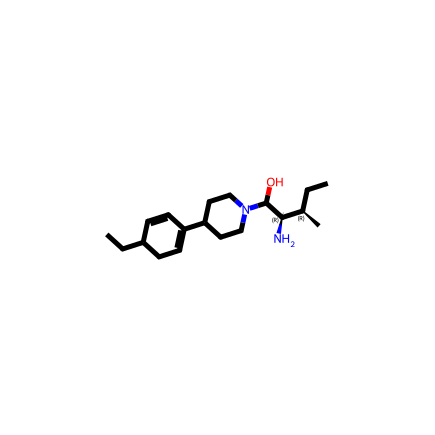 CCC1C=CC(C2CCN(C(O)[C@H](N)[C@H](C)CC)CC2)=CC1